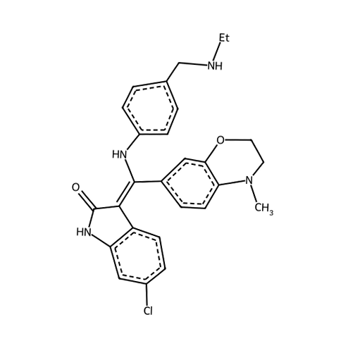 CCNCc1ccc(N/C(=C2\C(=O)Nc3cc(Cl)ccc32)c2ccc3c(c2)OCCN3C)cc1